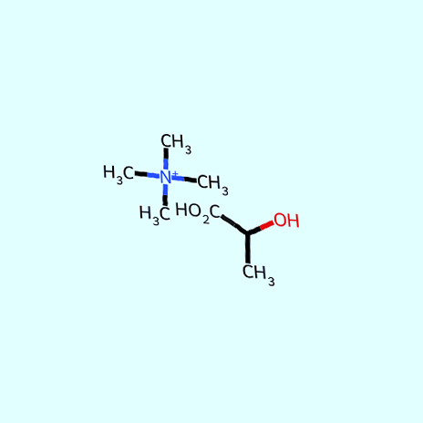 CC(O)C(=O)O.C[N+](C)(C)C